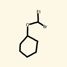 CCC(Br)OC1CCCCC1